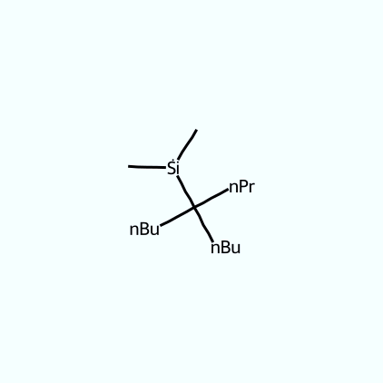 CCCCC(CCC)(CCCC)[Si](C)C